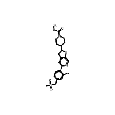 CC(C)(C)OC(=O)N1CCC(C2Cc3cc(-c4ccc(CS(C)(=O)=O)cc4F)ncc3O2)CC1